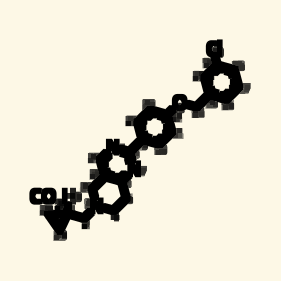 O=C(O)C1(CN2CCc3nc(-c4ccc(OCc5cccc(Cl)c5)cc4)ncc3C2)CC1